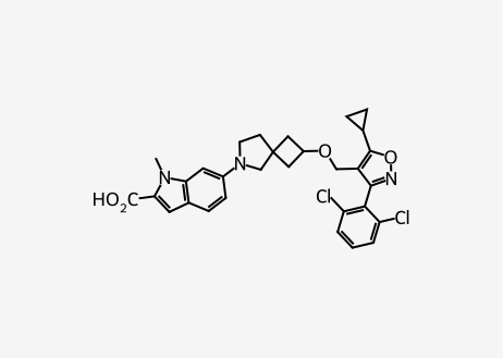 Cn1c(C(=O)O)cc2ccc(N3CCC4(CC(OCc5c(-c6c(Cl)cccc6Cl)noc5C5CC5)C4)C3)cc21